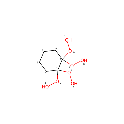 OOC1(OO)CCCCC1(OO)OO